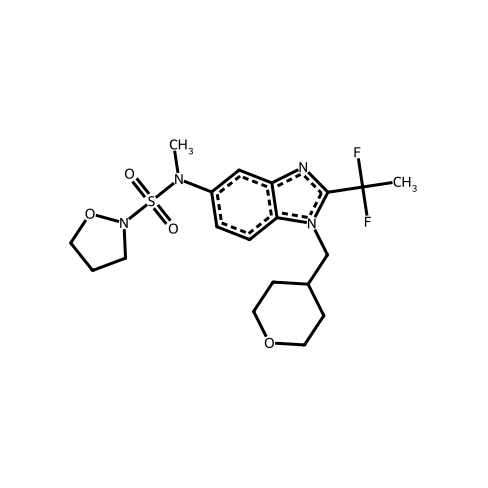 CN(c1ccc2c(c1)nc(C(C)(F)F)n2CC1CCOCC1)S(=O)(=O)N1CCCO1